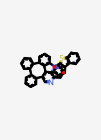 c1ccc2c(c1)-c1ccccc1-c1cnc3cccnc3c1-c1c-2cccc1-c1cccc2c1sc1ccccc12